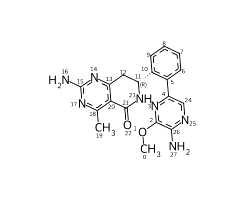 COc1nc(-c2ccccc2[C@H]2Cc3nc(N)nc(C)c3C(=O)N2)cnc1N